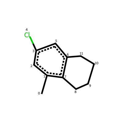 Cc1cc(Cl)cc2c1CCCC2